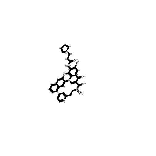 CN(CCc1ccccn1)C(=O)c1cn2c3c(c(NC(=O)CCN4CCCC4)c(F)cc3c1=O)Oc1cc3ccccc3cc1-2